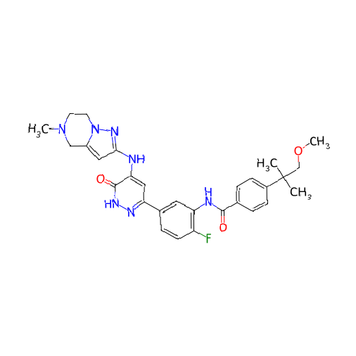 COCC(C)(C)c1ccc(C(=O)Nc2cc(-c3cc(Nc4cc5n(n4)CCN(C)C5)c(=O)[nH]n3)ccc2F)cc1